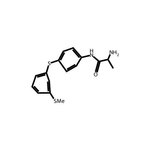 CSc1cccc(Sc2ccc(NC(=O)C(C)N)cc2)c1